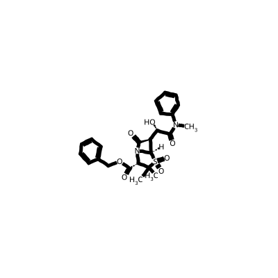 CN(C(=O)[C@@H](O)[C@@H]1C(=O)N2[C@@H](C(=O)OCc3ccccc3)C(C)(C)S(=O)(=O)[C@H]12)c1ccccc1